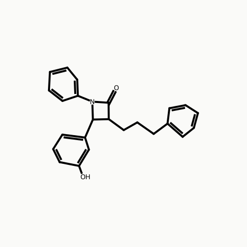 O=C1C(CCCc2ccccc2)C(c2cccc(O)c2)N1c1ccccc1